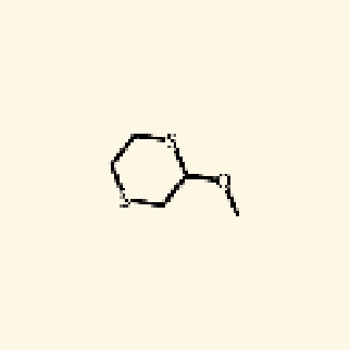 COC1CSCCS1